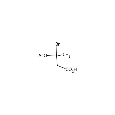 CC(=O)OC(C)(Br)CC(=O)O